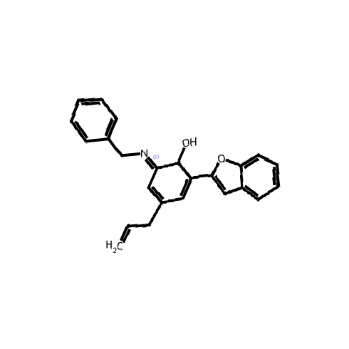 C=CCC1=C/C(=N\Cc2ccccc2)C(O)C(c2cc3ccccc3o2)=C1